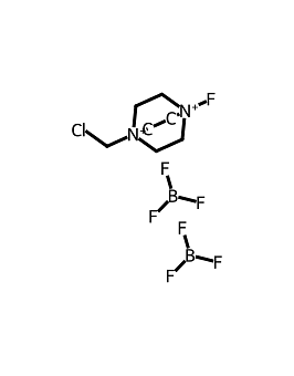 FB(F)F.FB(F)F.F[N+]12CC[N+](CCl)(CC1)CC2